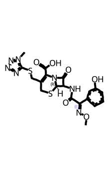 CO/N=C(/C(=O)NC1C(=O)N2C(C(=O)O)=C(CSc3nnnn3C)CS[C@H]12)c1cccc(O)c1